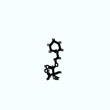 CC(=O)C(C)(Br)C(=O)OCCN1CCCCC1